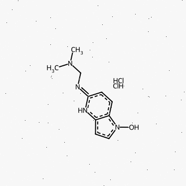 CN(C)CN=c1ccc2c(ccn2O)[nH]1.Cl.Cl